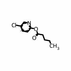 CCCCC(=O)Oc1c[c]c(Cl)cn1